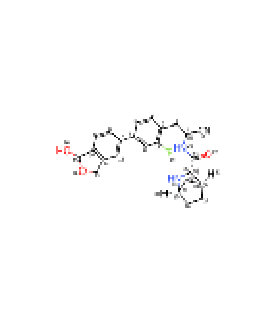 N#C[C@H](Cc1ccc(-c2ccc3c(c2)COC3O)cc1F)NC(=O)[C@H]1N[C@@H]2CC[C@H]1C2